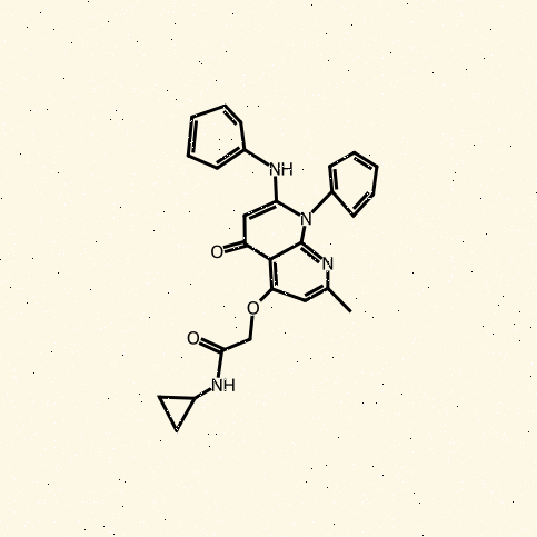 Cc1cc(OCC(=O)NC2CC2)c2c(=O)cc(Nc3ccccc3)n(-c3ccccc3)c2n1